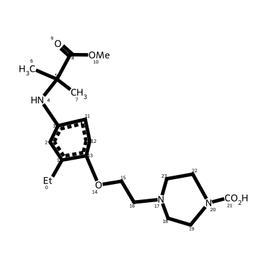 CCc1cc(NC(C)(C)C(=O)OC)ccc1OCCN1CCN(C(=O)O)CC1